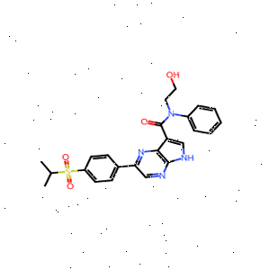 CC(C)S(=O)(=O)c1ccc(-c2cnc3[nH]cc(C(=O)N(CCO)c4ccccc4)c3n2)cc1